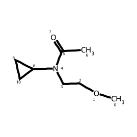 COCCN(C(C)=O)C1CC1